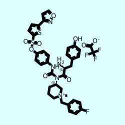 C[N+]1(Cc2ccc(F)cc2)CCC[C@H](N(C(=O)Nc2ccc(OS(=O)(=O)c3ccc(-c4ccon4)s3)cc2)C(=O)[C@@H](N)Cc2ccc(O)cc2)C1.O=C([O-])C(F)(F)F